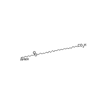 CCCCCC/C=C\CCCCCCCC(=O)OCCCCCCCCCCCCCCCCCCCCCCCCCCCCC(=O)O